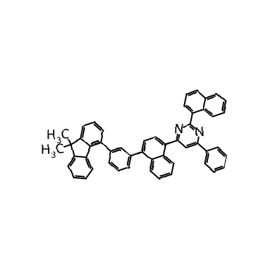 CC1(C)c2ccccc2-c2c(-c3cccc(-c4ccc(-c5cc(-c6ccccc6)nc(-c6cccc7ccccc67)n5)c5ccccc45)c3)cccc21